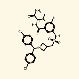 CC(C)[C@H](NC(=O)c1cc(Br)cc(NS(=O)(=O)CC2CN(C(c3ccc(Cl)cc3)c3ccc(Cl)cc3)C2)c1)C(N)=O